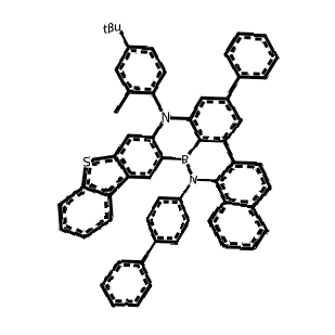 Cc1cc(C(C)(C)C)ccc1N1c2cc3sc4ccccc4c3cc2B2c3c(cc(-c4ccccc4)cc31)-c1ccc3ccccc3c1N2c1ccc(-c2ccccc2)cc1